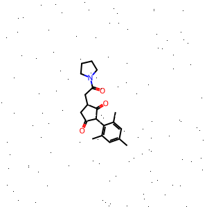 Cc1cc(C)c(C2C(=O)CC(CC(=O)N3CCCC3)C2=O)c(C)c1